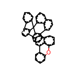 c1ccc2c(c1)Oc1cccc3cc(-c4cccc5c4C4(c6ccccc6-5)c5ccccc5-c5cccc6cccc4c56)cc-2c13